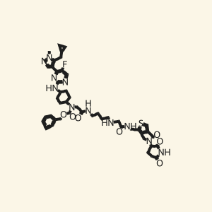 Cn1ncc(-c2nc(NC3CCC(N(CC(=O)NCCCCNCC(=O)NCc4scc5c4CN(C4CCC(=O)NC4=O)C5=O)C(=O)OCc4ccccc4)CC3)ncc2F)c1CC1CC1